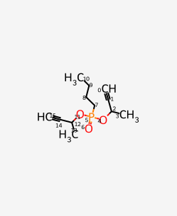 C#CC(C)OP(=O)(CCCC)OC(C)C#C